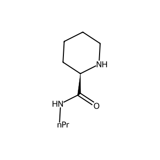 CCCNC(=O)[C@H]1CCCCN1